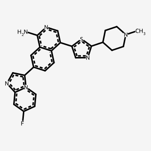 CN1CCC(c2ncc(-c3cnc(N)c4cc(-c5cnc6cc(F)ccn56)ccc34)s2)CC1